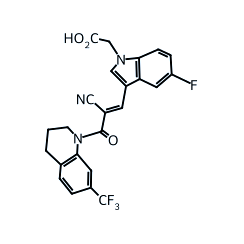 N#C/C(=C\c1cn(CC(=O)O)c2ccc(F)cc12)C(=O)N1CCCc2ccc(C(F)(F)F)cc21